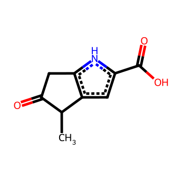 CC1C(=O)Cc2[nH]c(C(=O)O)cc21